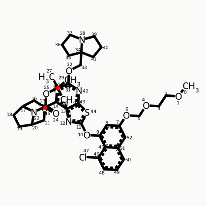 COCCOCOc1cc(Oc2nc3c(N4CC5CCC(C4)N5C(=O)OC(C)(C)C)nc(OCC45CCCN4CCC5)nc3s2)c2c(Cl)cccc2c1